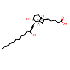 CCCCCCCCCCC(O)C#C[C@@H]1[C@H]2C/C(=C\CCCC(=O)O)[C@H]2CC[C@H]1O